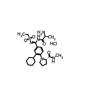 CCS(=O)(=O)N=C(NC(=O)[C@H](C)N)c1ccc(N2CCC[C@H]2C(=O)NC)c(C2CCCCC2)c1.Cl